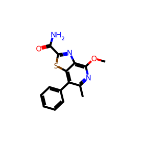 COc1nc(C)c(-c2ccccc2)c2sc(C(N)=O)nc12